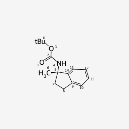 CC(C)(C)OC(=O)N[C@@]1(C)CCc2ccccc21